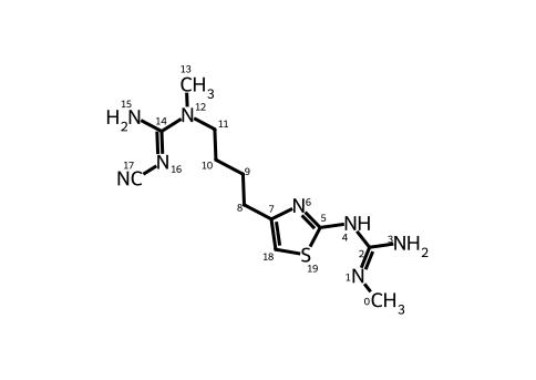 CN=C(N)Nc1nc(CCCCN(C)C(N)=NC#N)cs1